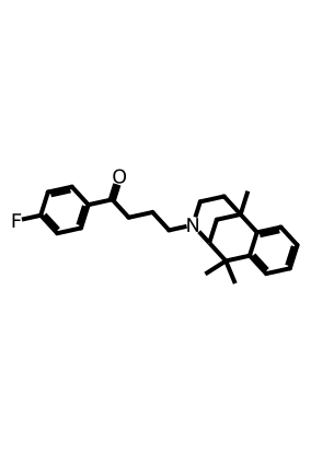 CC12CCN(CCCC(=O)c3ccc(F)cc3)C(C1)C(C)(C)c1ccccc12